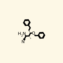 C[C@H](C(N)C#N)[C@H](CCc1ccccc1)OCc1ccccc1